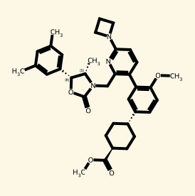 COc1ccc([C@H]2CC[C@H](C(=O)OC)CC2)cc1-c1ccc(N2CCC2)nc1CN1C(=O)O[C@H](c2cc(C)cc(C)c2)[C@@H]1C